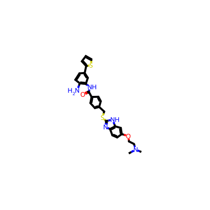 CN(C)CCOc1ccc2nc(SCc3ccc(C(=O)Nc4cc(-c5cccs5)ccc4N)cc3)[nH]c2c1